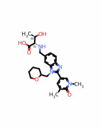 Cc1cc(-c2nc3ccc(CN[C@H](C(=O)O)[C@@H](C)O)cc3n2CC2CCCCO2)cn(C)c1=O